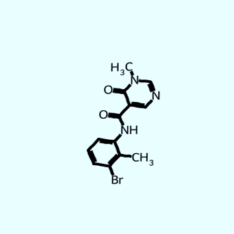 Cc1c(Br)cccc1NC(=O)c1cncn(C)c1=O